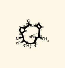 CCCC1=C(/Cl)CC(C)C(CCC)C(Cl)C2CC/C(=C(\Cl)CC3CCC3\C=C\1C)C2